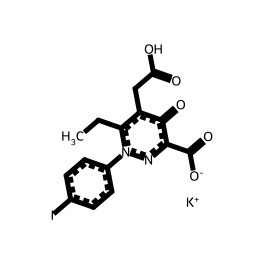 CCc1c(CC(=O)O)c(=O)c(C(=O)[O-])nn1-c1ccc(I)cc1.[K+]